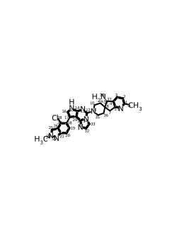 Cc1ccc2c(n1)CC1(CCN(c3nc4[nH]cc(-c5ccc6nn(C)cc6c5Cl)c4c4nccn34)CC1)[C@@H]2N